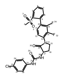 CS(=O)(=O)c1ccccc1-c1ccc(N2CC[C@@H](NC(=O)Nc3ccc(Cl)cc3)C2=O)c(F)c1F